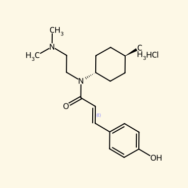 CN(C)CCN(C(=O)/C=C/c1ccc(O)cc1)[C@H]1CC[C@H](C)CC1.Cl